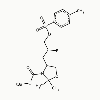 Cc1ccc(S(=O)(=O)OCC(F)CC2COC(C)(C)N2C(=O)OC(C)(C)C)cc1